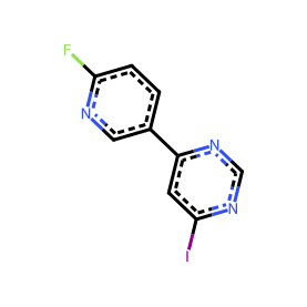 Fc1ccc(-c2cc(I)ncn2)cn1